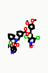 COc1ccc([C@H](Cc2c(Cl)c[n+]([O-])cc2Cl)OC(=O)c2cccc(CN(C(=O)O[C@H]3CN4CCC3CC4)c3ccccc3Cl)c2)cc1OC